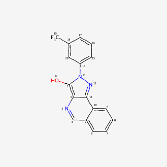 Oc1c2ncc3ccccc3c2nn1-c1cccc(C(F)(F)F)c1